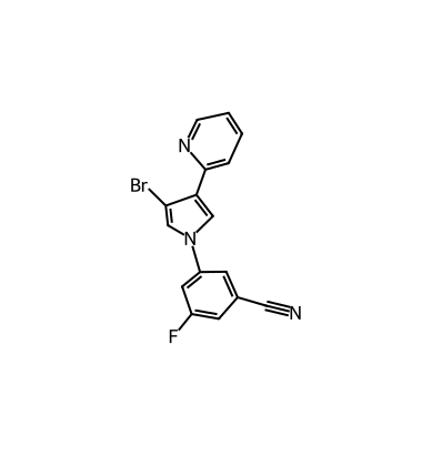 N#Cc1cc(F)cc(-n2cc(Br)c(-c3ccccn3)c2)c1